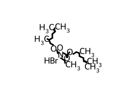 Br.CCCCN(CC(=O)OCCC(C)CCC=C(C)C)CC(=O)OCCC(C)CCC=C(C)C